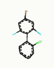 Fc1cc(Br)cc(F)c1-c1cc[c]cc1Cl